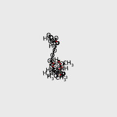 CCC[C@H](NC(=O)[C@@H]1C2CCC[C@H]2CN1C(=O)[C@@H](NC(=O)[C@H](C)NC(=O)c1cnc(C(=O)NCCOCCOCCNc2cccc3c2C(=O)N(C2CCC(=O)NC2=O)C3=O)cn1)C(C)(C)C)C(=O)C(=O)NC1CC1